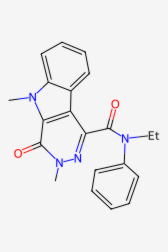 CCN(C(=O)c1nn(C)c(=O)c2c1c1ccccc1n2C)c1ccccc1